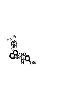 COc1ccc(C(C)(C)C)cc1NC(=O)Nc1ccc(Oc2ncnc(NC(C)C)n2)c2ccccc12